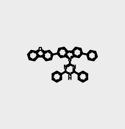 c1ccc(C2=NC(n3c4cc(-c5ccccc5)ccc4c4ccc(-c5ccc6c(c5)oc5ccccc56)cc43)=NC(c3ccccc3)N2)cc1